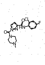 CN1CCN(C(=O)n2ccc(C(=O)Nc3ccc(F)cc3Cl)n2)CC1